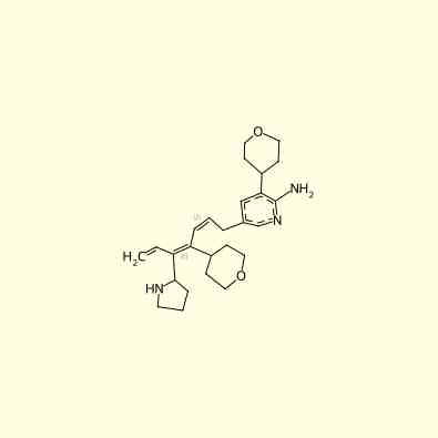 C=C/C(=C(\C=C/Cc1cnc(N)c(C2CCOCC2)c1)C1CCOCC1)C1CCCN1